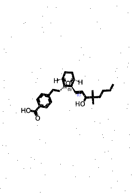 CCCCC(C)(C)C(O)/C=C/[C@H]1[C@H](CCc2ccc(C(=O)O)cc2)[C@H]2CC[C@@H]1O2